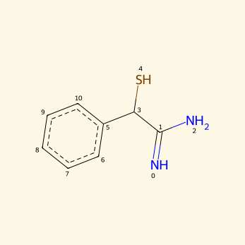 N=C(N)C(S)c1ccccc1